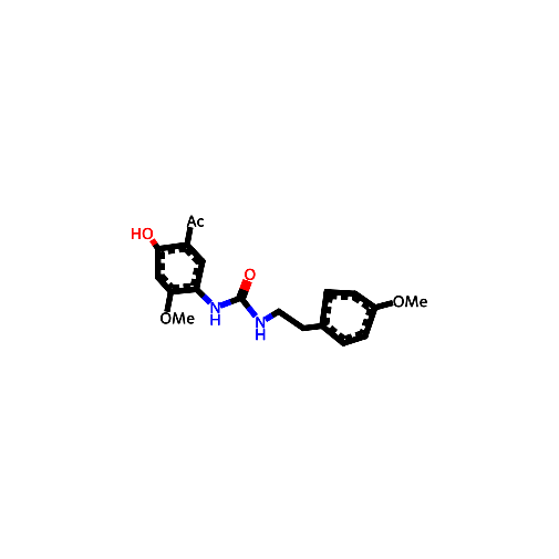 COc1ccc(CCNC(=O)Nc2cc(C(C)=O)c(O)cc2OC)cc1